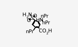 CCCNCCC.CCCc1cc(S(N)(=O)=O)ccc1C(=O)O